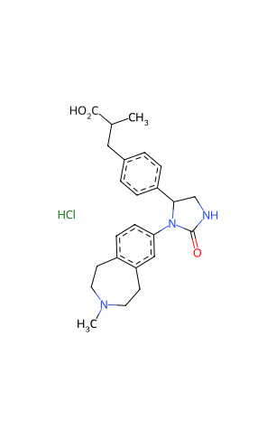 CC(Cc1ccc(C2CNC(=O)N2c2ccc3c(c2)CCN(C)CC3)cc1)C(=O)O.Cl